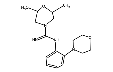 CC1CN(C(=N)Nc2ccccc2N2CCOCC2)CC(C)O1